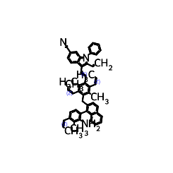 C=Cc1c(/C=C/c2c(C)c(/C=C\C)c(Cc3ccc4ccccc4c3-c3ccc(/C=C\C)c(C)c3N)c(C)c2/C=C\C)c2ccc(C#N)cc2n1-c1ccccc1